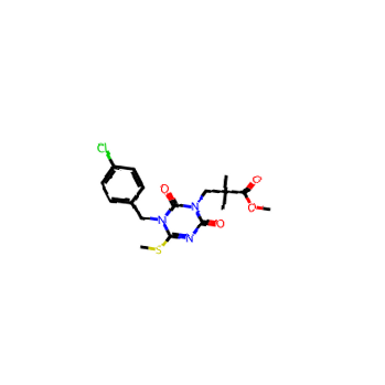 COC(=O)C(C)(C)Cn1c(=O)nc(SC)n(Cc2ccc(Cl)cc2)c1=O